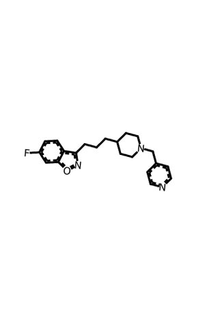 Fc1ccc2c(CCCC3CCN(Cc4ccncc4)CC3)noc2c1